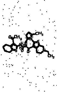 CCN1CCc2c(sc(-n3c(C)ccc3C)c2C(=O)NC(=O)Nc2sc3c(c2C(C)=O)CCCC3)C1